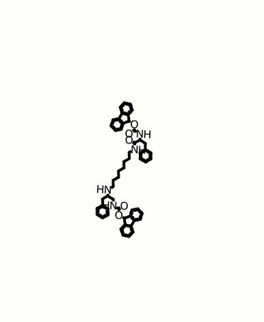 O=C(NCC(Cc1ccccc1)NCCCCCCCCNC(=O)C(Cc1ccccc1)NC(=O)OC1c2ccccc2-c2ccccc21)OC1c2ccccc2-c2ccccc21